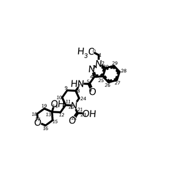 CCn1nc(C(=O)NC2CCC(CC3(O)CCOCC3)N(C(=O)O)C2)c2ccccc21